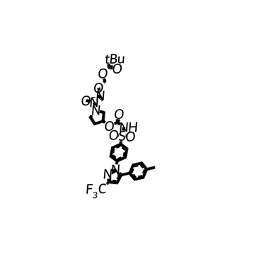 Cc1ccc(-c2cc(C(F)(F)F)nn2-c2ccc(S(=O)(=O)NC(=O)OC3CCN([N+]([O-])=NOCOC(=O)C(C)(C)C)C3)cc2)cc1